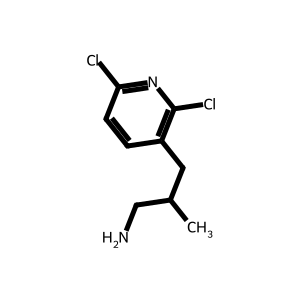 CC(CN)Cc1ccc(Cl)nc1Cl